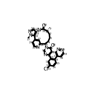 C[C@@H]1CCC[C@H](n2cnc(-c3cc(Cl)ccc3-c3ccnnc3)cc2=O)c2cc(ccn2)-c2c(cnn2C)NC1=O